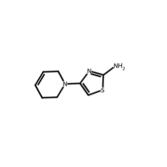 Nc1nc(N2CC=CCC2)cs1